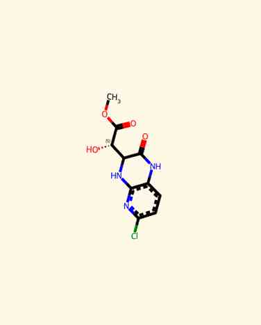 COC(=O)[C@@H](O)C1Nc2nc(Cl)ccc2NC1=O